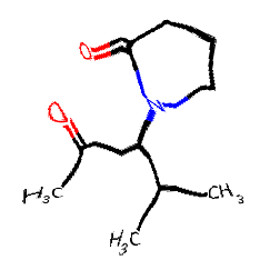 CC(=O)C(C(C)C)N1CCCC1=O